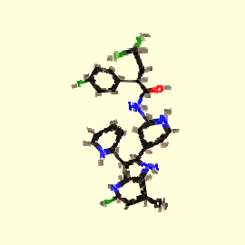 Cc1cc(F)nc2c(-c3ccccn3)c(-c3ccnc(NC(=O)[C@H](CC(F)F)c4ccc(F)cc4)c3)[nH]c12